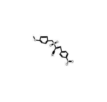 COc1ccc(CS(=O)(=O)/C(C#N)=C/c2ccc([N+](=O)[O-])cc2)cc1